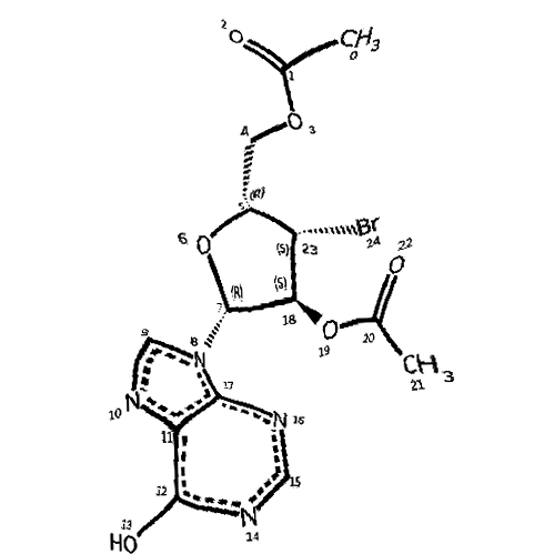 CC(=O)OC[C@H]1O[C@@H](n2cnc3c(O)ncnc32)[C@H](OC(C)=O)[C@H]1Br